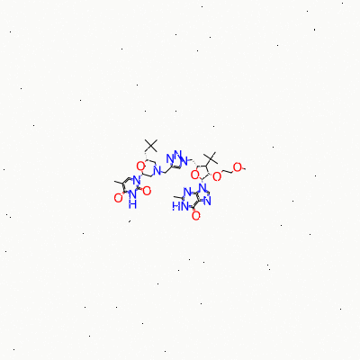 COCCO[C@H]1C(C(C)(C)C)[C@@H](Cn2cc(CN3C[C@@H](CC(C)(C)C)O[C@@H](n4cc(C)c(=O)[nH]c4=O)C3)nn2)O[C@H]1n1cnc2c(=O)[nH]c(C)nc21